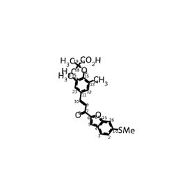 CSc1ccc2cc(C(=O)C=Cc3cc(C)c(OC(C)(C)C(=O)O)c(C)c3)oc2c1